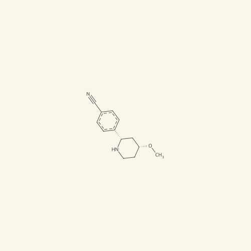 CO[C@@H]1CCN[C@H](c2ccc(C#N)cc2)C1